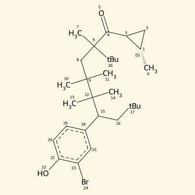 C[C@H]1CC1C(=O)C(C)(CC(C)(C)C(C)(C)C(CC(C)(C)C)c1ccc(O)c(Br)c1)C(C)(C)C